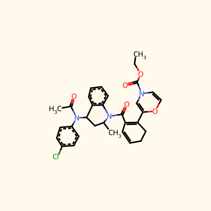 CCOC(=O)N1C=COC(C2=C(C(=O)N3c4ccccc4C(N(C(C)=O)c4ccc(Cl)cc4)CC3C)C=CCC2)=C1